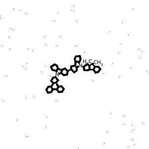 CC1(C)c2ccccc2-c2ccc(-n3c4ccccc4c4cc(-c5ccc6c(c5)c5ccccc5n6-c5ccc6c7ccccc7c7ccccc7c6c5)ccc43)cc21